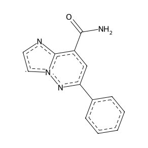 NC(=O)c1cc(-c2ccccc2)nn2[c]cnc12